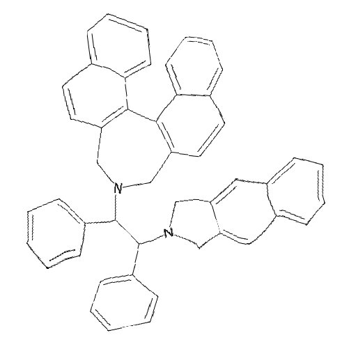 c1ccc(C(C(c2ccccc2)N2Cc3ccc4ccccc4c3-c3c(ccc4ccccc34)C2)N2Cc3cc4ccccc4cc3C2)cc1